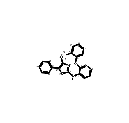 Cc1nc(Nc2cccnc2Oc2ccccc2C(C)(C)C)sc1-c1ccccc1